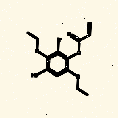 C=CC(=O)Oc1c(OCC)cc(S)c(OCC)c1Br